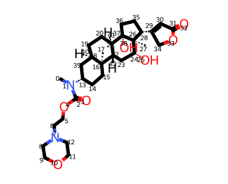 CN(C(=O)OCCN1CCOCC1)[C@H]1CC[C@@]2(C)[C@H](CC[C@@H]3[C@@H]2C[C@@H](O)[C@]2(C)[C@@H](C4=CC(=O)OC4)CC[C@]32O)C1